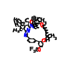 Cc1c([C@H](OC(C)(C)C)C(=O)O)c2n3cc(nc3c1C)-c1cccc(c1)-c1cc(OC(F)(F)F)ccc1O[C@@H](C)CCCCOC1(C)CCN2CC1